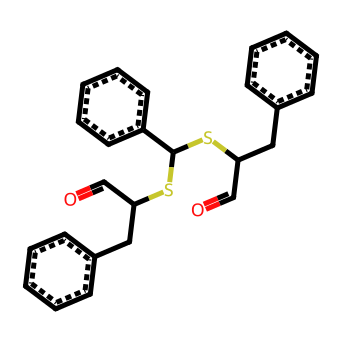 O=CC(Cc1ccccc1)SC(SC(C=O)Cc1ccccc1)c1ccccc1